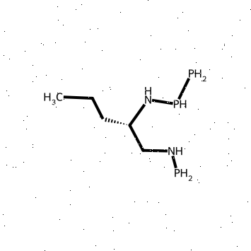 CCC[C@@H](CNP)NPP